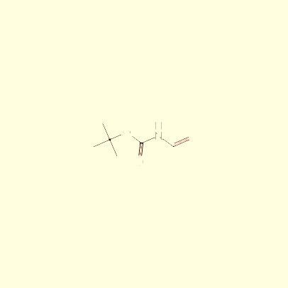 [CH]=CNC(=O)OC(C)(C)C